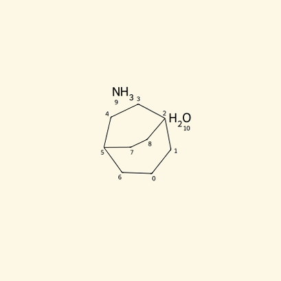 C1CC2CCC(C1)CC2.N.O